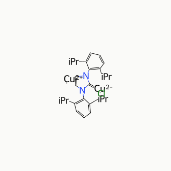 CC(C)c1cccc(C(C)C)c1-n1ccn(-c2c(C(C)C)cccc2C(C)C)[c]1=[Cu-2][Cl].[Cu+2]